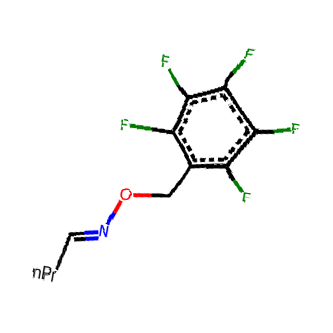 CCCC=NOCc1c(F)c(F)c(F)c(F)c1F